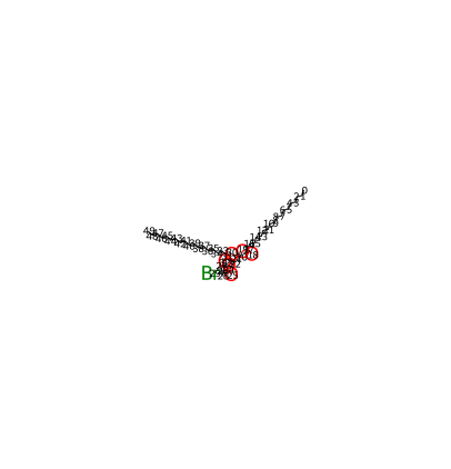 CCCCCCCCCCCCCCCCCC(=O)OCC(COC(=O)C(C)(C)Br)OC(=O)CCCCCCCCCCCCCCCCC